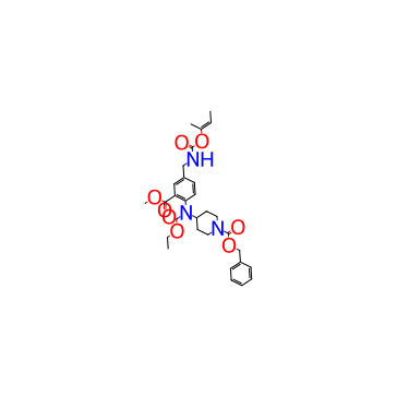 C/C=C(\C)OC(=O)NCc1ccc(N(C(=O)OCC)C2CCN(C(=O)OCc3ccccc3)CC2)c(C(=O)OC)c1